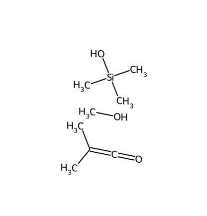 CC(C)=C=O.CO.C[Si](C)(C)O